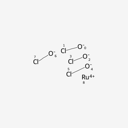 [O-]Cl.[O-]Cl.[O-]Cl.[O-]Cl.[Ru+4]